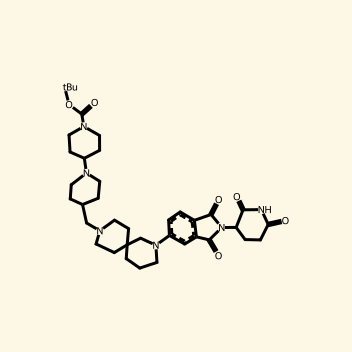 CC(C)(C)OC(=O)N1CCC(N2CCC(CN3CCC4(CCCN(c5ccc6c(c5)C(=O)N(C5CCC(=O)NC5=O)C6=O)C4)CC3)CC2)CC1